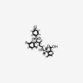 Cc1csc(C(=O)O)c1S(=O)(=O)NCCC(C)C(c1cc(F)ccc1F)S(=O)(=O)c1ccc(Cl)cc1